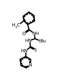 Cc1ccccc1C(=O)NC(NC(=S)Nc1cccnc1)C(C)(C)C